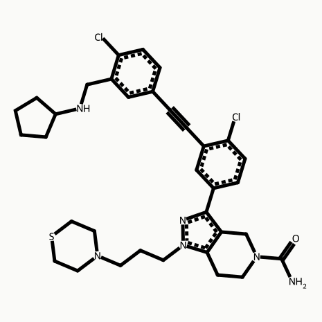 NC(=O)N1CCc2c(c(-c3ccc(Cl)c(C#Cc4ccc(Cl)c(CNC5CCCC5)c4)c3)nn2CCCN2CCSCC2)C1